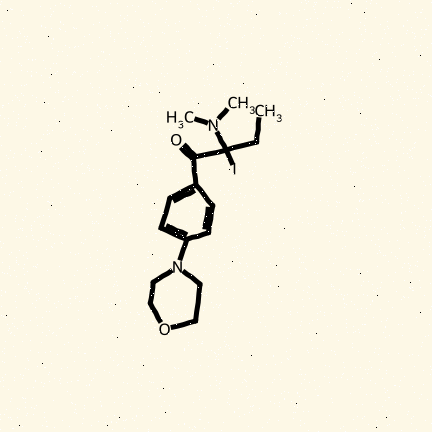 CCC(I)(C(=O)c1ccc(N2CCOCC2)cc1)N(C)C